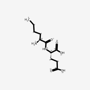 CCCC[C@H](N)C(=O)N[C@@H](CCC(=O)O)C(=O)O